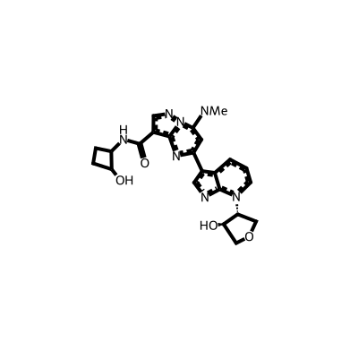 CNc1cc(-c2cnc3n([C@@H]4COC[C@H]4O)cccc2-3)nc2c(C(=O)NC3CCC3O)cnn12